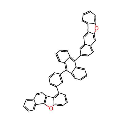 c1cc(-c2c3ccccc3c(-c3ccc4cc5oc6ccccc6c5cc4c3)c3ccccc23)cc(-c2cccc3oc4c5ccccc5ccc4c23)c1